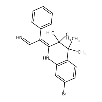 CC1(C)/C(=C(/C=N)c2ccccc2)Nc2cc(Br)ccc2C1(C)C